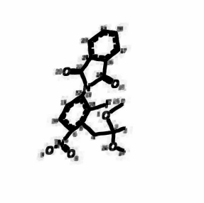 COC(C)(Cc1c([N+](=O)[O-])ccc(N2C(=O)c3ccccc3C2=O)c1F)OC